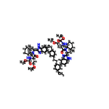 CCc1ccc(CCc2ccc(C)cc2-c2ccc3[nH]c([C@@H]4C[C@@H]5CCCC[C@@H]5N4C(=O)[C@H](CCOC)NC(=O)OC)nc3c2)cc1-c1ccc2[nH]c([C@@H]3C[C@@H]4CCCC[C@@H]4N3C(=O)[C@H](CCOC)NC(=O)OC)nc2c1